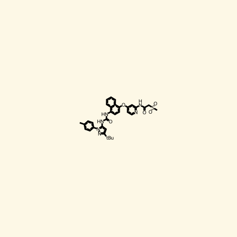 Cc1ccc(-n2nc(C(C)(C)C)cc2NC(=O)Nc2ccc(Oc3ccnc(NC(=O)CS(C)(=O)=O)c3)c3ccccc23)cc1